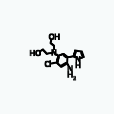 Nc1cc(Cl)c(N(CCO)CCO)cc1-c1ccc[nH]1